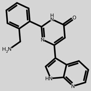 NCc1ccccc1-c1nc(-c2c[nH]c3ncccc23)cc(=O)[nH]1